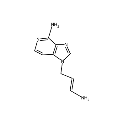 NC=CCn1cnc2c(N)nccc21